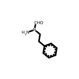 NN(C=O)CCc1ccccc1